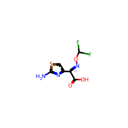 Nc1nc(/C(=N\OC(F)F)C(=O)O)cs1